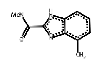 CNC(=O)c1nc2c(C)cccc2[nH]1